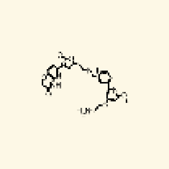 COc1cc(OCCN)cc(-c2cccc(CNCCC3CN(c4ccc5c(n4)NC(=O)CO5)C(=O)O3)c2)n1